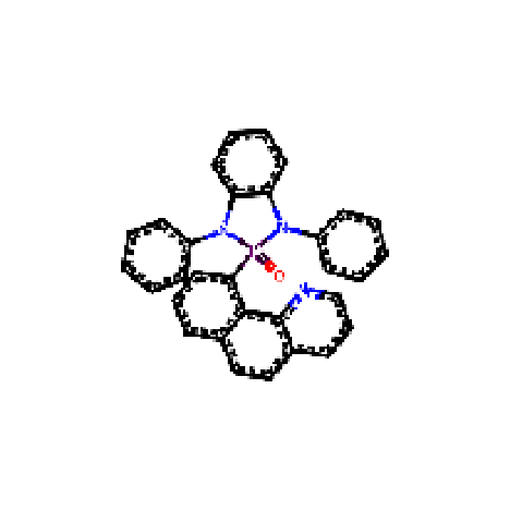 O=P1(c2cccc3ccc4cccnc4c23)N(c2ccccc2)c2ccccc2N1c1ccccc1